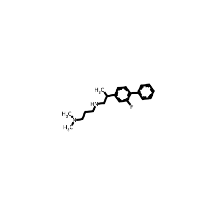 CC(CNCCCN(C)C)c1ccc(-c2ccccc2)c(F)c1